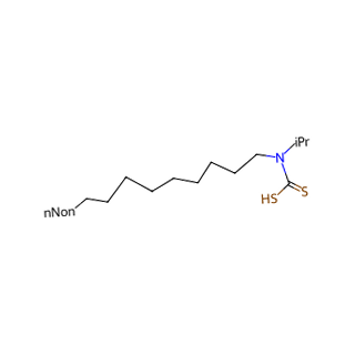 CCCCCCCCCCCCCCCCCCN(C(=S)S)C(C)C